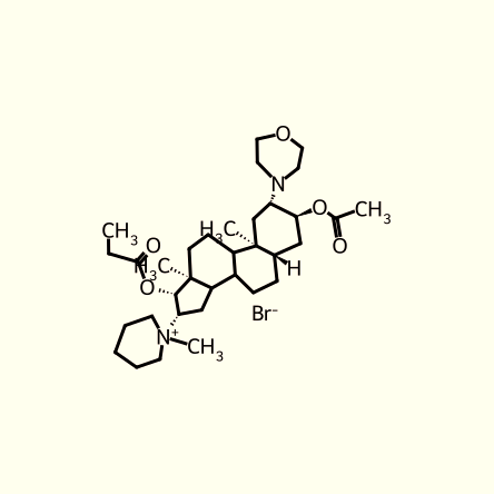 CCC(=O)O[C@H]1[C@@H]([N+]2(C)CCCCC2)CC2C3CC[C@H]4C[C@H](OC(C)=O)[C@@H](N5CCOCC5)C[C@]4(C)C3CC[C@@]21C.[Br-]